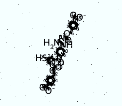 NC(=NC(=O)OCc1ccc([N+](=O)[O-])cc1)NC1CCN(C(=O)[C@@H]2C[C@H](S)CN2C(=O)OCc2ccc([N+](=O)[O-])cc2)CC1